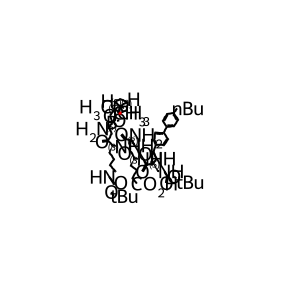 CCCCc1ccc(-c2ccc(C(=O)N[C@@H](CNC(=O)OC(C)(C)C)C(=O)N[C@@H](CCCC(=O)O)C(=O)N[C@@H](N)C(=O)N[C@@H](CCCCNC(=O)OC(C)(C)C)C(=O)C[C@@H](N)B3OC4C[C@@H]5C[C@@H](C5(C)C)[C@]4(C)O3)cc2)cc1